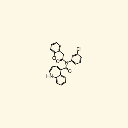 O=C(Cc1ccccc1Cl)N(C(=O)C1=CC=CNc2ccccc21)c1cccc(Cl)c1